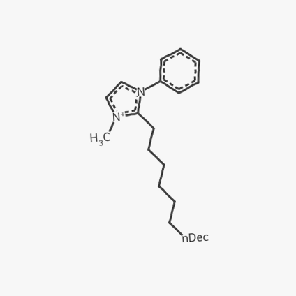 CCCCCCCCCCCCCCCCc1n(-c2ccccc2)cc[n+]1C